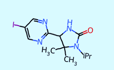 CC(C)N1C(=O)NC(c2ncc(I)cn2)C1(C)C